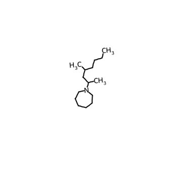 CCCCC(C)CC(C)N1CCCCCC1